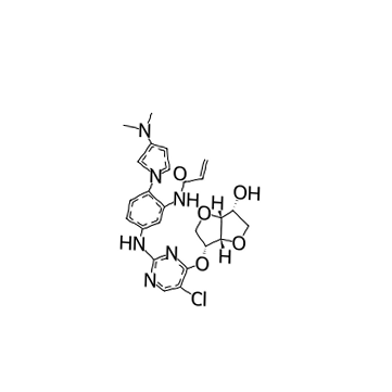 C=CC(=O)Nc1cc(Nc2ncc(Cl)c(O[C@@H]3CO[C@H]4[C@@H]3OC[C@H]4O)n2)ccc1-n1ccc(N(C)C)c1